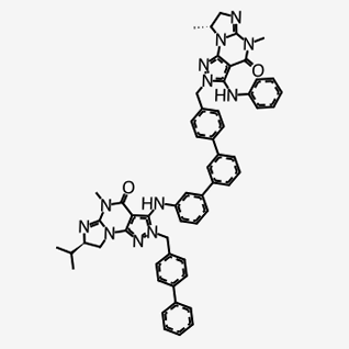 CC(C)[C@@H]1CN2C(=N1)N(C)C(=O)c1c2nn(Cc2ccc(-c3ccccc3)cc2)c1Nc1cccc(-c2cccc(-c3ccc(Cn4nc5c(c4Nc4ccccc4)C(=O)N(C)C4=NC[C@@H](C)N45)cc3)c2)c1